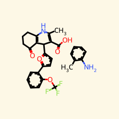 CC1=C(C(=O)O)C(c2ccc(-c3ccccc3OC(F)(F)F)o2)C2=C(CCCC2=O)N1.Cc1ccccc1N